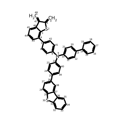 C=c1sc2c(-c3ccc(N(c4ccc(-c5ccccc5)cc4)c4ccc(-c5ccc6sc7ccccc7c6c5)cc4)cc3)cccc2c1=C